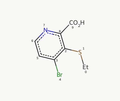 CCSc1c(Br)ccnc1C(=O)O